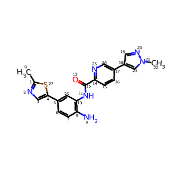 Cc1ncc(-c2ccc(N)c(NC(=O)c3ccc(-c4cnn(C)c4)cn3)c2)s1